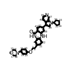 O=C1Nc2cc(CCOc3ccc(N4CCOCC4)cc3)ccc2Nc2cc(-c3cn(C4CCCC4)c4cnccc34)ccc21